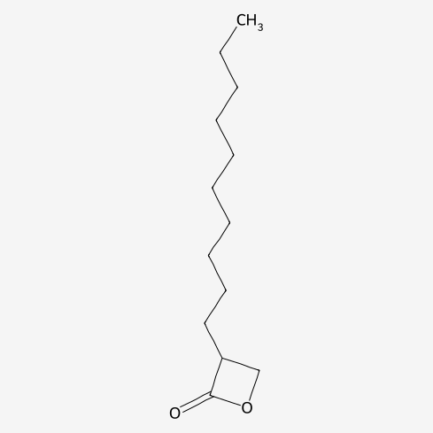 CCCCCCCCCCC1COC1=O